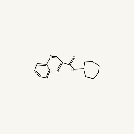 O=C(NC1CCCCCC1)c1cnc2ccccc2n1